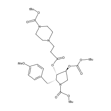 COc1ccc(C[C@@H]2[C@H](OC(=O)CCN3CCN(C(=O)OC(C)(C)C)CC3)[C@@H](OC(=O)OC(C)(C)C)CN2C(=O)OC(C)(C)C)cc1